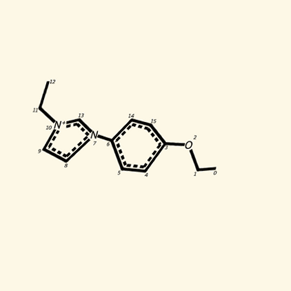 CCOc1ccc(-n2cc[n+](CC)c2)cc1